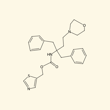 O=C(NC(CCN1CCOCC1)(Cc1ccccc1)Cc1ccccc1)OCc1cncs1